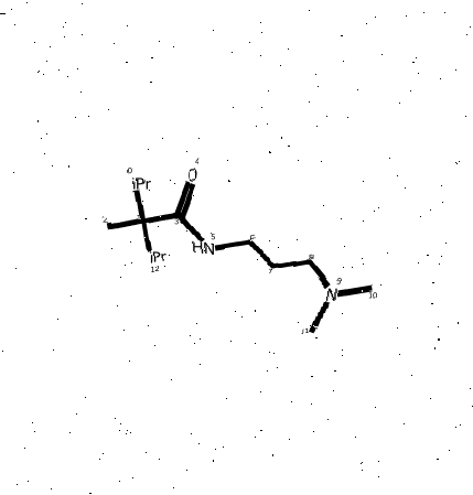 CC(C)C(C)(C(=O)NCCCN(C)C)C(C)C